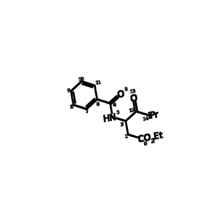 CCOC(=O)CC(NC(=O)c1ccccc1)C(=O)C(C)C